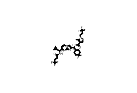 Cc1c(C(=O)N[C@H](c2cn3ccc([C@@H](NC(=O)CCC(F)(F)F)C4CC4)nc3n2)C2CCC(F)(F)CC2)cnn1CCC(F)(F)F